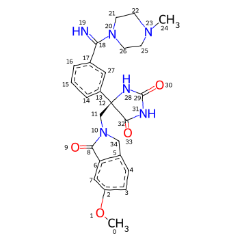 COc1ccc2c(c1)C(=O)N(C[C@@]1(c3cccc(C(=N)N4CCN(C)CC4)c3)NC(=O)NC1=O)C2